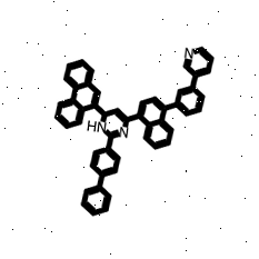 C1=C(c2ccc(-c3cccc(-c4cccnc4)c3)c3ccccc23)N=C(c2ccc(-c3ccccc3)cc2)NC1c1cc2ccccc2c2ccccc12